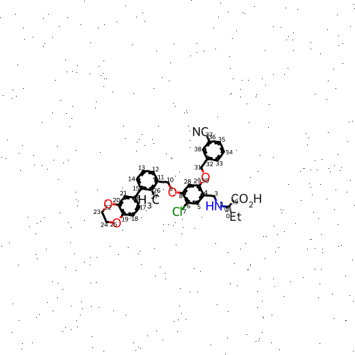 CC[C@H](NCc1cc(Cl)c(OCc2cccc(-c3ccc4c(c3)OCCO4)c2C)cc1OCc1cccc(C#N)c1)C(=O)O